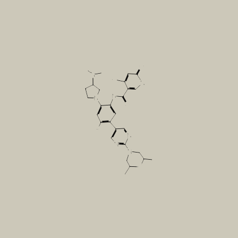 CC1CN(c2ncc(-c3cc(NC(=O)c4c[nH]c(=O)cc4C(F)(F)F)c(N4CCC(N(C)C)C4)cc3F)cn2)CC(C)O1